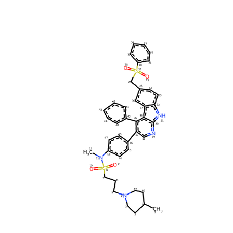 CC1CCN(CCCS(=O)(=O)N(C)c2ccc(-c3cnc4[nH]c5ccc(CS(=O)(=O)c6ccccc6)cc5c4c3-c3ccccc3)cc2)CC1